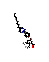 CCCCCCCCc1cnc(-c2ccc(O[C@@H](CCC=O)CC(C)CC)cc2)nc1